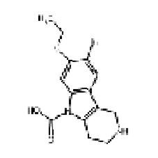 CCOc1cc2c(cc1Br)c1c(n2C(=O)O)CCNC1